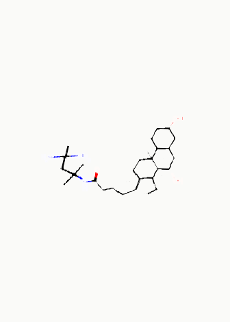 C[C@H](CCC(=O)NC(C)(C)CC(C)(N)N)[C@H]1CCC2[C@@H]3[C@@H](O)CC4C[C@H](O)CC[C@]4(C)[C@H]3CC[C@@]21C